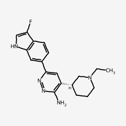 CCN1CCC[C@H](c2cc(-c3ccc4c(F)c[nH]c4c3)nnc2N)C1